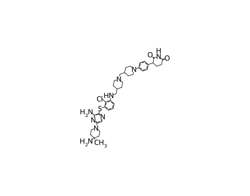 CC1(N)CCN(c2cnc(Sc3cccc(NCC4CCN(CC5CCN(c6ccc(C7CCC(=O)NC7=O)cc6)CC5)CC4)c3Cl)c(N)n2)CC1